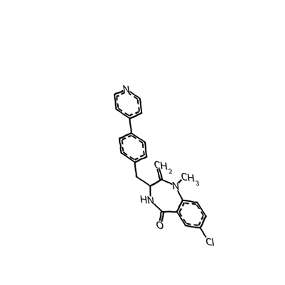 C=C1C(Cc2ccc(-c3ccncc3)cc2)NC(=O)c2cc(Cl)ccc2N1C